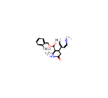 C=N/C=C\C(=C/C)C1CC(=O)NC(C)=C1C(=O)OCc1ccccc1OC